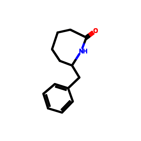 O=C1CCCCC(Cc2ccccc2)N1